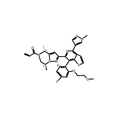 C=CC(=O)N1C[C@H](C)n2nc(-c3nc(-c4cnn(C)c4)c4ccsc4c3-c3c(F)cc(F)cc3OCCOC)cc2[C@H]1C